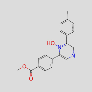 COC(=O)c1ccc(-c2cncc(-c3ccc(C)cc3)[n+]2O)cc1